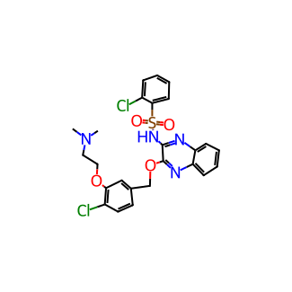 CN(C)CCOc1cc(COc2nc3ccccc3nc2NS(=O)(=O)c2ccccc2Cl)ccc1Cl